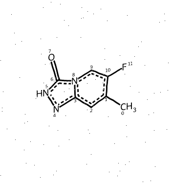 Cc1cc2n[nH]c(=O)n2cc1F